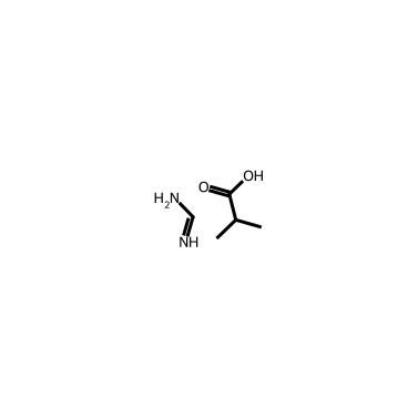 CC(C)C(=O)O.N=CN